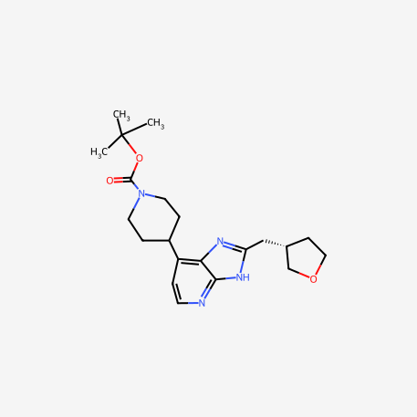 CC(C)(C)OC(=O)N1CCC(c2ccnc3[nH]c(C[C@@H]4CCOC4)nc23)CC1